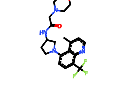 Cc1ccnc2c(C(F)(F)F)ccc(N3CCC(NC(=O)CN4CCOCC4)C3)c12